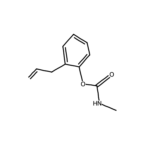 C=CCc1ccccc1OC(=O)NC